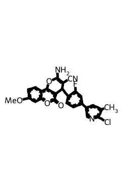 COc1ccc2c3c(c(=O)oc2c1)C(c1ccc(-c2cnc(Cl)c(C)c2)cc1F)C(C#N)=C(N)O3